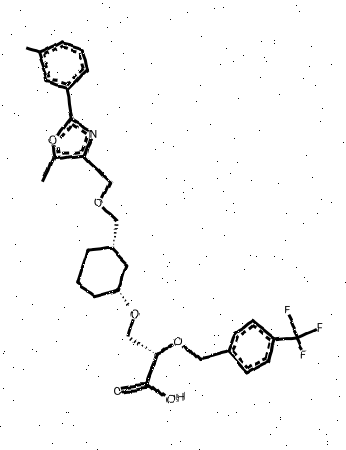 Cc1cccc(-c2nc(COC[C@H]3CCC[C@@H](OC[C@H](OCc4ccc(C(F)(F)F)cc4)C(=O)O)C3)c(C)o2)c1